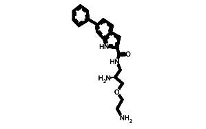 NCCOC[C@H](N)CNC(=O)c1cc2ccc(-c3ccccc3)cc2[nH]1